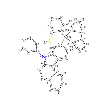 c1ccc(-n2c3ccc4ccccc4c3c3ccc4c(c32)Sc2ccccc2C42c3ccccc3-c3ccccc32)cc1